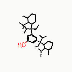 CCC(c1cc(O)cc(C(CC)(C(C)C)C2CCCC(C)C2C(C)C)c1)(C(C)C)C1CCCC(C)C1C(C)C